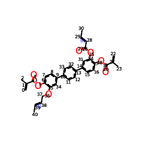 C=C(C)C(=O)Oc1ccc(-c2ccc(-c3ccc(OC(=O)C(=C)C)c(OC(=O)/C=C/C)c3)cc2)cc1OC/C=C/C